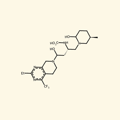 CCc1nc2c(c(C(F)(F)F)n1)CCN(C(O)C[C@@H](CN1C[C@H](C)CCC1O)NC(=O)O)C2